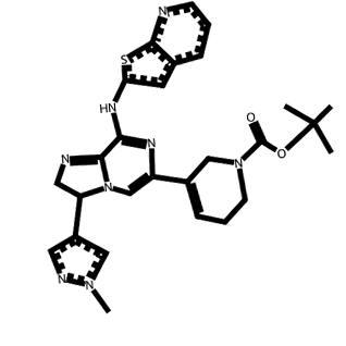 Cn1cc(C2CN=C3C(Nc4cc5cccnc5s4)=NC(C4=CCCN(C(=O)OC(C)(C)C)C4)=CN32)cn1